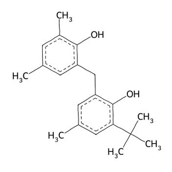 Cc1cc(C)c(O)c(Cc2cc(C)cc(C(C)(C)C)c2O)c1